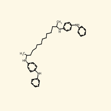 CC(CCCCCCCCCCC(C)Nc1ccc(Nc2ccccc2)cc1)Nc1ccc(Nc2ccccc2)cc1